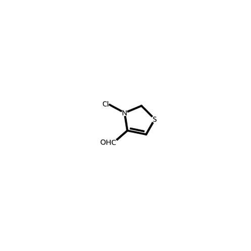 O=CC1=CSCN1Cl